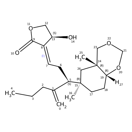 C=C(CCC)[C@@H](C/C=C1/C(=O)OC[C@H]1O)[C@]1(C)CC[C@H]2OCOC[C@@]2(C)C1